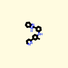 Cc1cc(-c2cccnn2)ccc1Nc1cccc(-c2nc3ccccc3[nH]2)c1